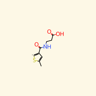 Cc1cc(C(=O)NCCC(=O)O)[c]s1